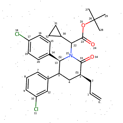 C=CC[C@H]1CC(c2cccc(Cl)c2)[C@@H](c2ccc(Cl)cc2)N(C(C(=O)OC(C)(C)C)C2CC2)C1=O